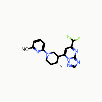 C[C@@H]1CCN(c2cccc(C#N)n2)CC1c1cc(C(F)F)nc2ncnn12